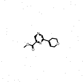 COC(=O)c1cncc(C2=CCOCC2)n1